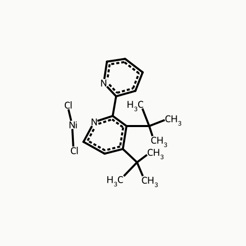 CC(C)(C)c1ccnc(-c2ccccn2)c1C(C)(C)C.[Cl][Ni][Cl]